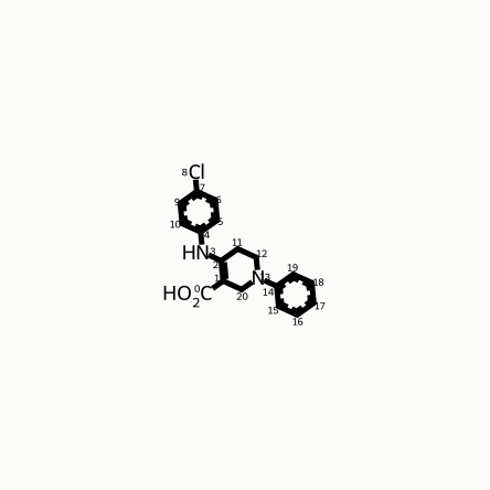 O=C(O)C1=C(Nc2ccc(Cl)cc2)CCN(c2ccccc2)C1